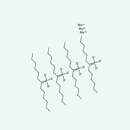 CCCCCCS(CCCCCC)=P([O-])([O-])[S-].CCCCCCS(CCCCCC)=P([O-])([O-])[S-].CCCCCCS(CCCCCC)=P([O-])([O-])[S-].CCCCCCS(CCCCCC)=P([O-])([O-])[S-].[Mo+4].[Mo+4].[Mo+4]